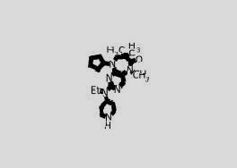 CCN(c1ncc2c(n1)N(C1CCCC1)CC(C)(C)C(=O)N2C)C1CCNCC1